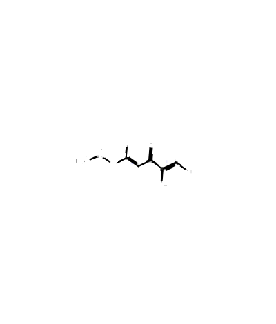 CNO/C(C)=C/C(=N)/C(C)=C/N